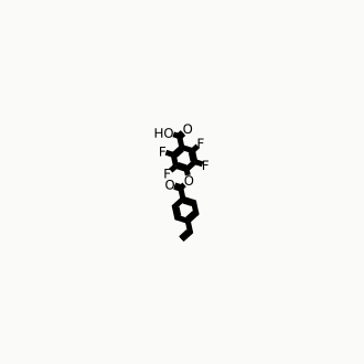 C=Cc1ccc(C(=O)Oc2c(F)c(F)c(C(=O)O)c(F)c2F)cc1